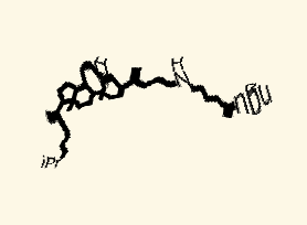 C=C(CCCC)CCCCNCCCC(=C)C1CCC2(C)C3CCC4(C)C(C(C)CCCC(C)C)CCC4C3CC[C@H]2C1